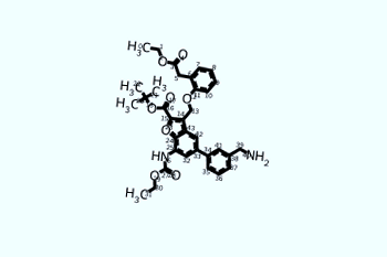 CCOC(=O)Cc1ccccc1OCc1c(C(=O)OC(C)(C)C)oc2c(NC(=O)OCC)cc(-c3cccc(CN)c3)cc12